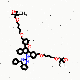 CCC1(COCCCCCOCc2ccc3oc4c(c3c2)c2ccccc2c2c4c3cc(COCCCCCOCC4(CC)COC4)ccc3n2-c2nc(-c3ccccc3)c3ccccc3n2)COC1